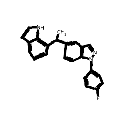 Fc1ccc(-n2ncc3cc(C(c4cccc5cc[nH]c45)C(F)(F)F)ccc32)cc1